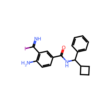 N=C(I)c1cc(C(=O)NC(c2ccccc2)C2CCC2)ccc1N